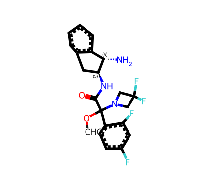 N[C@H]1c2ccccc2C[C@@H]1NC(=O)C(OC=O)(c1ccc(F)cc1F)N1CC(F)(F)C1